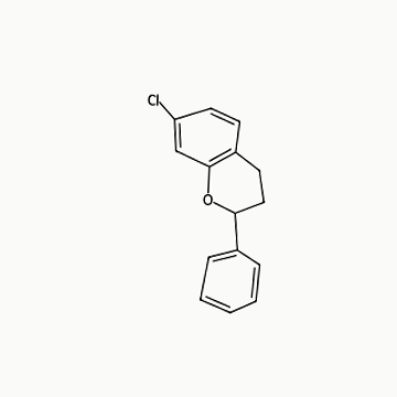 Clc1ccc2c(c1)OC(c1ccccc1)CC2